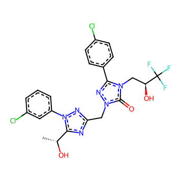 C[C@@H](O)c1nc(Cn2nc(-c3ccc(Cl)cc3)n(C[C@H](O)C(F)(F)F)c2=O)nn1-c1cccc(Cl)c1